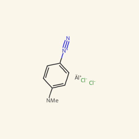 CNc1ccc([N+]#N)cc1.[Al+].[Cl-].[Cl-]